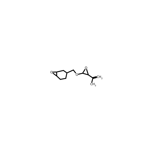 C=C(C)C1OC1OCC1CCC2OC2C1